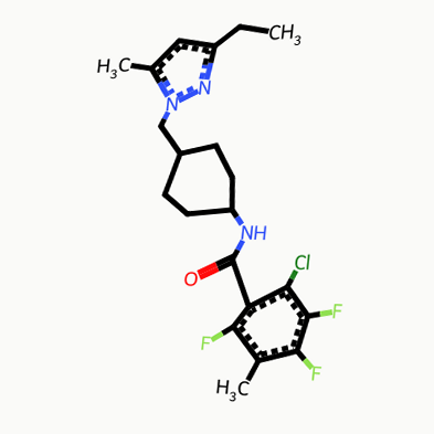 CCc1cc(C)n(CC2CCC(NC(=O)c3c(F)c(C)c(F)c(F)c3Cl)CC2)n1